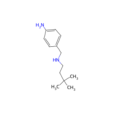 CC(C)(C)CCNCc1ccc(N)cc1